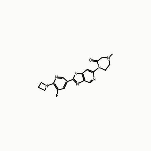 CN1CCN(c2cc3sc(-c4cnc(N5CCC5)c(F)c4)nc3cn2)C(=O)C1